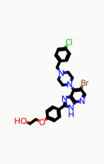 OCCOc1ccc(-c2nc3c(N4CCN(Cc5ccc(Cl)cc5)CC4)c(Br)cnc3[nH]2)cc1